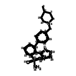 CC1CCN(Cc2ccc(-c3cccc(S(N)(=O)=O)c3-c3nnn[nH]3)cc2)CC1